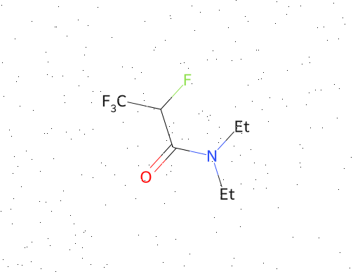 CCN(CC)C(=O)C(F)C(F)(F)F